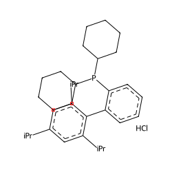 CC(C)c1cc(C(C)C)c(-c2ccccc2P(C2CCCCC2)C2CCCCC2)c(C(C)C)c1.Cl